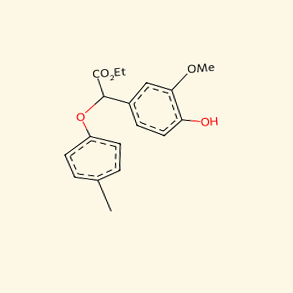 CCOC(=O)C(Oc1ccc(C)cc1)c1ccc(O)c(OC)c1